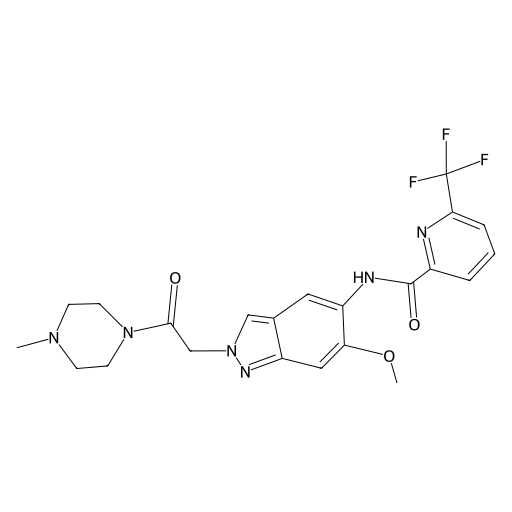 COc1cc2nn(CC(=O)N3CCN(C)CC3)cc2cc1NC(=O)c1cccc(C(F)(F)F)n1